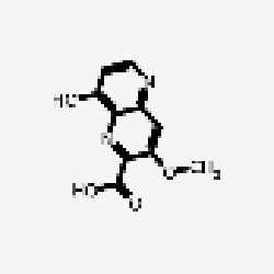 COc1cc2nccc(O)c2nc1C(=O)O